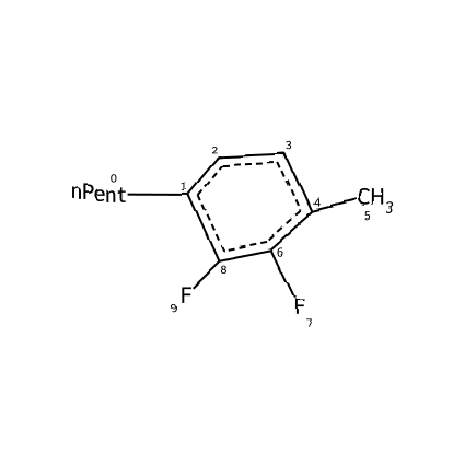 CCCCCc1ccc(C)c(F)c1F